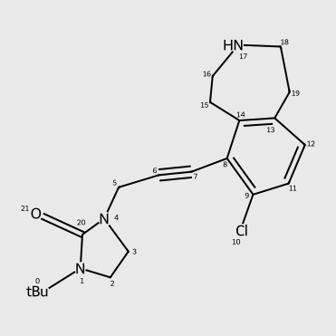 CC(C)(C)N1CCN(CC#Cc2c(Cl)ccc3c2CCNCC3)C1=O